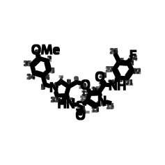 COc1ccc(CN2CC3COc4c(cn(C)c4C(=O)Nc4ccc(F)c(C)c4)[S+]([O-])NC3(C)C2)cc1